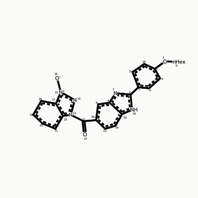 CCCCCCOc1ccc(-c2nc3cc(C(=O)n4n[n+]([O-])c5ccccc54)ccc3[nH]2)cc1